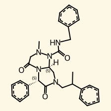 CC(CN1C[C@H]2N(C(=O)CN(C)N2C(=O)NCc2ccccc2)[C@@H](c2ccccc2)C1=O)c1ccccc1